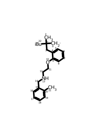 [CH2]C(C)(Cc1ccccc1OCCNCc1ccccc1C)C(C)CC